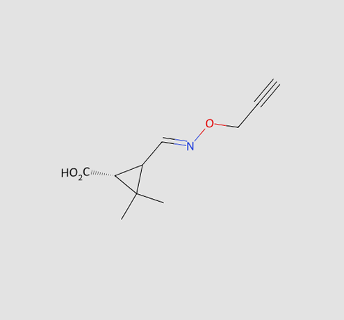 C#CCON=CC1[C@@H](C(=O)O)C1(C)C